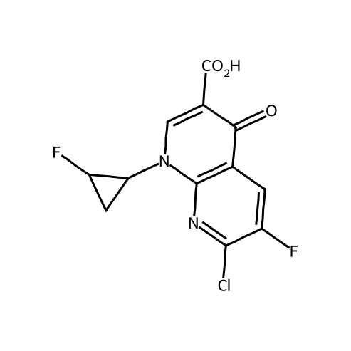 O=C(O)c1cn(C2CC2F)c2nc(Cl)c(F)cc2c1=O